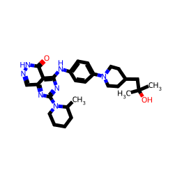 CC1CCCCN1c1nc(Nc2ccc(N3CCC(CC(C)(C)O)CC3)cc2)c2c(=O)[nH]ncc2n1